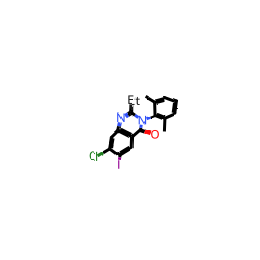 CCc1nc2cc(Cl)c(I)cc2c(=O)n1-c1c(C)cccc1C